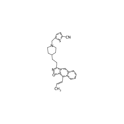 C/C=C/c1c2ccccc2cc2c(CCC3CCN(Cc4ccc(C#N)s4)CC3)noc12